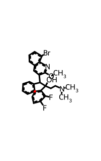 COc1nc2c(Br)cccc2cc1C(c1ccccc1)C(O)(CCN(C)C)c1cccc(F)c1F